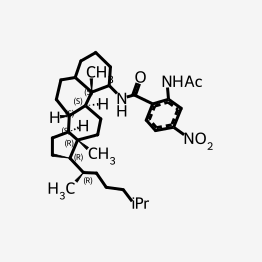 CC(=O)Nc1cc([N+](=O)[O-])ccc1C(=O)NC1CCCC2CC[C@@H]3[C@H](CC[C@]4(C)[C@@H]([C@H](C)CCCC(C)C)CC[C@@H]34)[C@]21C